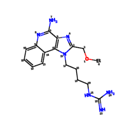 CCOCc1nc2c(N)nc3ccccc3c2n1CCCCNC(=N)N